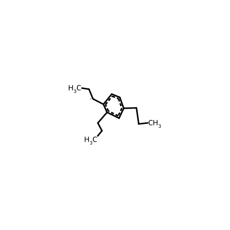 CC[CH]c1ccc(CCC)cc1CCC